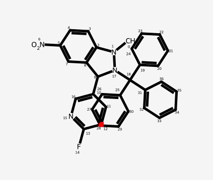 CN1c2ccc([N+](=O)[O-])cc2C(c2ccc(F)nc2)N1C(c1ccccc1)(c1ccccc1)c1ccccc1